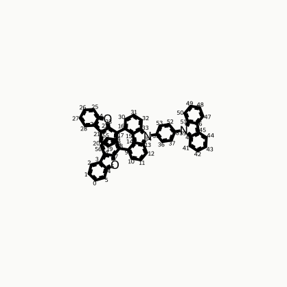 c1ccc2c(c1)oc1c(-c3cccc4c3c3c(-c5cccc6c5oc5ccccc56)cccc3n4-c3ccc(-n4c5ccccc5c5ccccc54)cc3)cccc12